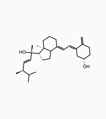 C=C1CC[C@H](O)CC1=CC=C1CCC[C@@]2(C)C1CC[C@@H]2[C@@](C)(O)C=C[C@H](C)C(C)C